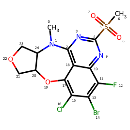 CN1c2nc(S(C)(=O)=O)nc3c(F)c(Br)c(Cl)c(c23)OC2COCC21